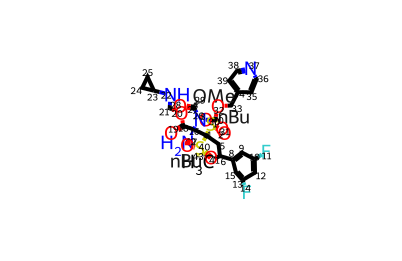 CCCCS(=O)(=O)C(CC(C)c1cc(F)cc(F)c1)([C@](N)(C(=O)OCNC1CC1)N(C(=O)OC)C(=O)OCc1ccncc1)S(=O)(=O)CCCC